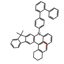 CC1(C)c2ccccc2-c2cc(-c3cccc4c3CCCC4)c(N(c3ccccc3)c3ccc(-c4ccccc4-c4ccccc4)cc3)cc21